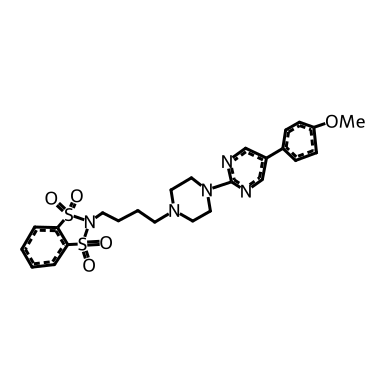 COc1ccc(-c2cnc(N3CCN(CCCCN4S(=O)(=O)c5ccccc5S4(=O)=O)CC3)nc2)cc1